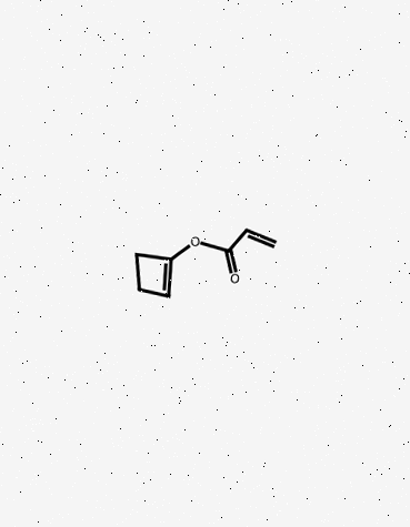 C=CC(=O)OC1=CCC1